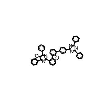 c1ccc(-c2nc(-c3ccccc3)nc(-c3ccc(-c4cccc5c4oc4cccc(-c6nc(-c7ccccc7)c7oc8ccccc8c7n6)c45)cc3)n2)cc1